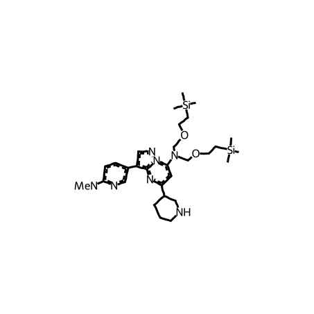 CNc1ccc(-c2cnn3c(N(COCC[Si](C)(C)C)COCC[Si](C)(C)C)cc(C4CCCNC4)nc23)cn1